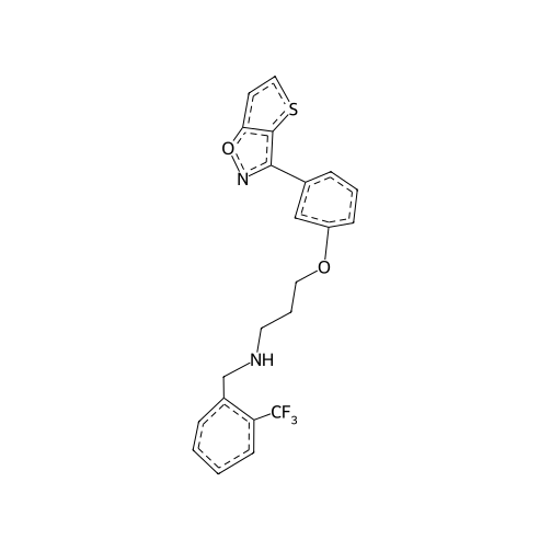 FC(F)(F)c1ccccc1CNCCCOc1cccc(-c2noc3ccsc23)c1